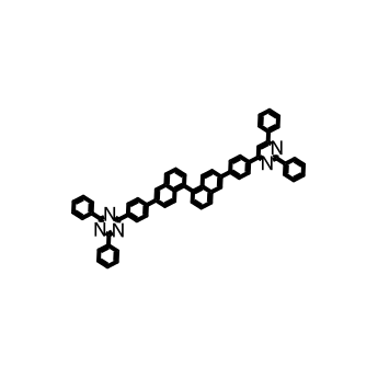 c1ccc(-c2cc(-c3ccc(-c4ccc5c(-c6cccc7cc(-c8ccc(-c9nc(-c%10ccccc%10)nc(-c%10ccccc%10)n9)cc8)ccc67)cccc5c4)cc3)nc(-c3ccccc3)n2)cc1